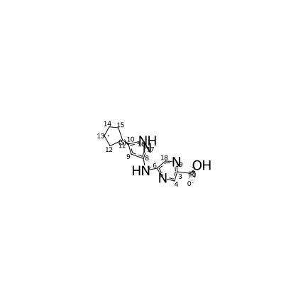 C[C@@H](O)c1cnc(Nc2cc([C@H]3C[CH]CC3)[nH]n2)cn1